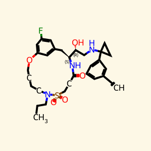 C#Cc1cccc(C2(NC[C@@H](O)[C@@H]3Cc4cc(F)cc(c4)OCCCCN(CCC)S(=O)(=O)CCC(=O)N3)CC2)c1